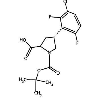 CC(C)(C)OC(=O)N1C[C@@H](c2c(F)ccc(Cl)c2F)CC1C(=O)O